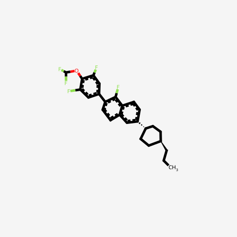 CCC[C@H]1CC[C@H](c2ccc3c(F)c(-c4cc(F)c(OC(F)F)c(F)c4)ccc3c2)CC1